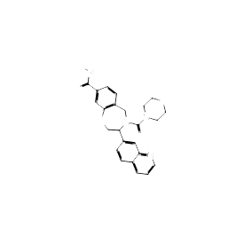 O=C(NO)c1ccc2c(c1)OCC(c1ccc3cccnc3c1)N(C(=O)N1CCOCC1)C2